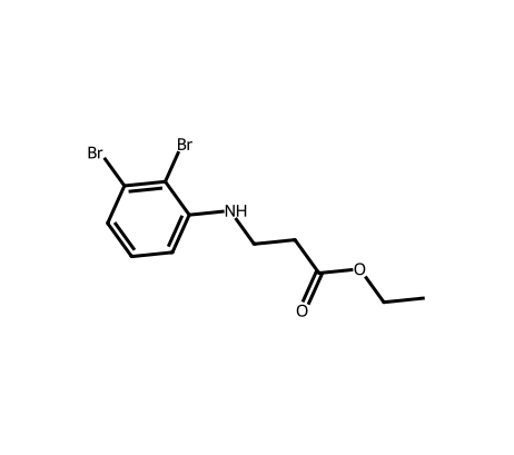 CCOC(=O)CCNc1cccc(Br)c1Br